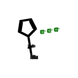 CCC[CH2][Zr+2][CH]1C=CC=C1.[Cl-].[Cl-].[Cl-]